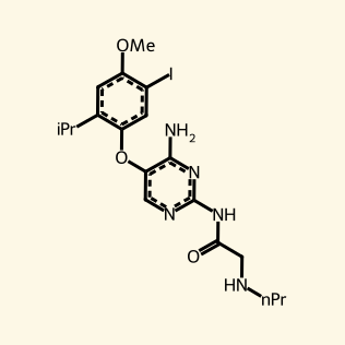 CCCNCC(=O)Nc1ncc(Oc2cc(I)c(OC)cc2C(C)C)c(N)n1